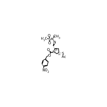 CC(=O)S[C@H]1C[C@@H](C=NN(C)S(C)(=O)=O)N(C(=O)OCc2ccc([N+](=O)[O-])cc2)C1